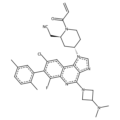 C=CC(=O)N1CC[C@H](n2cnc3c(N4CC(N(C)C)C4)nc4c(F)c(-c5cc(C)ccc5C)c(Cl)cc4c32)C[C@H]1CC#N